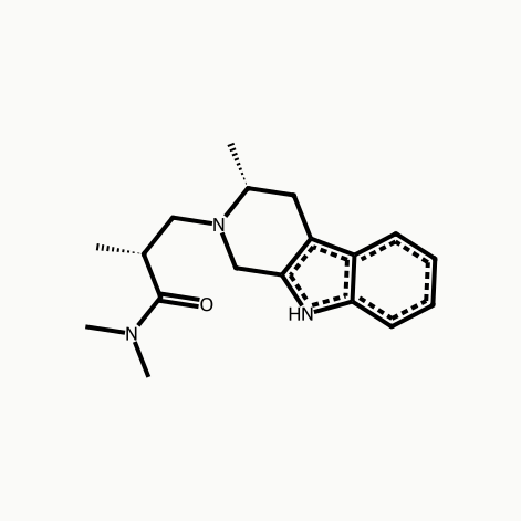 C[C@H](CN1Cc2[nH]c3ccccc3c2C[C@H]1C)C(=O)N(C)C